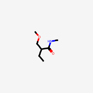 CCC(COC)C(=O)NC